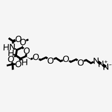 CO[C@@H]1O[C@H](COCCOCCOCCOCCN=[N+]=[N-])[C@@H]2OC(C)(C)O[C@@H]2[C@H]1NC(C)=O